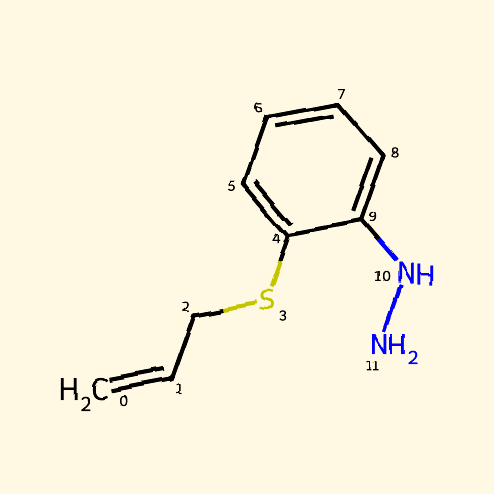 C=CCSc1ccccc1NN